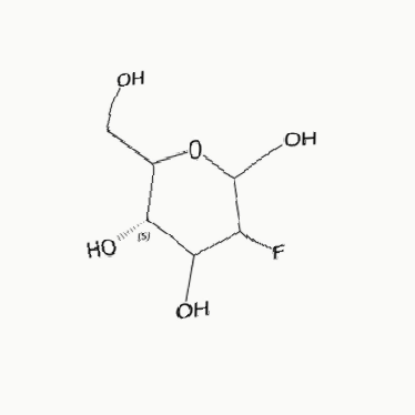 OCC1OC(O)C(F)C(O)[C@@H]1O